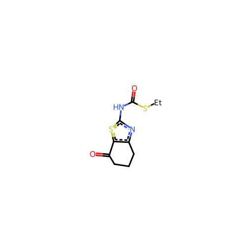 CCSC(=O)Nc1nc2c(s1)C(=O)CCC2